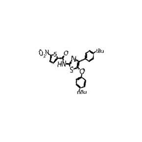 CCCCc1ccc(Oc2sc(NC(=O)c3ccc([N+](=O)[O-])s3)nc2-c2ccc(C(C)(C)C)cc2)cc1